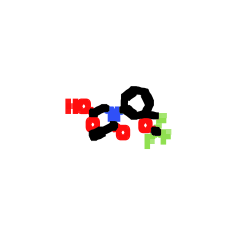 C#CC(=O)N(CC(=O)O)C1=CC(C)(OC(F)(F)F)C=CC=C1